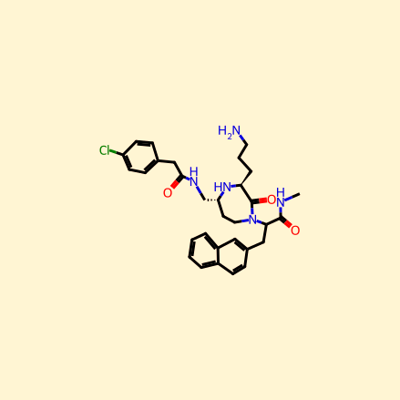 CNC(=O)C(Cc1ccc2ccccc2c1)N1CC[C@H](CNC(=O)Cc2ccc(Cl)cc2)N[C@@H](CCCN)C1=O